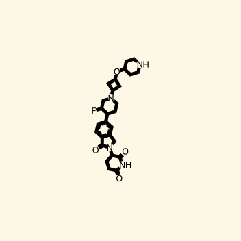 O=C1CCC(N2Cc3cc(C4CCN(C5CC(OC6CCNCC6)C5)CC4F)ccc3C2=O)C(=O)N1